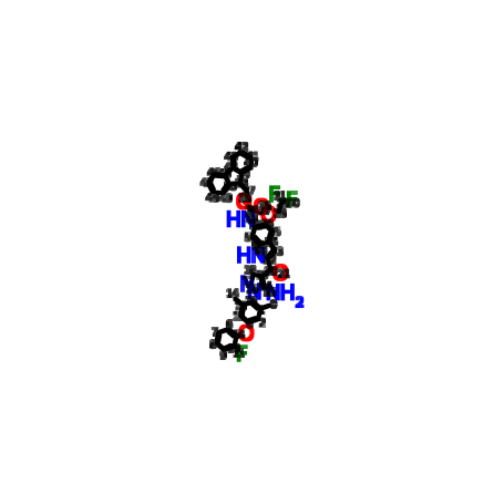 Cc1cc(Oc2ccccc2F)cc(C)c1-n1ncc(C(=O)c2cc3cc(OCC(F)F)c(NC(=O)OCC4c5ccccc5-c5ccccc54)cc3[nH]2)c1N